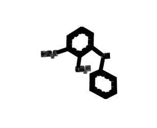 CCOC(=O)c1cccc(Nc2ccccc2)c1C(=O)O